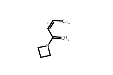 C=C(/C=C\C)N1CCC1